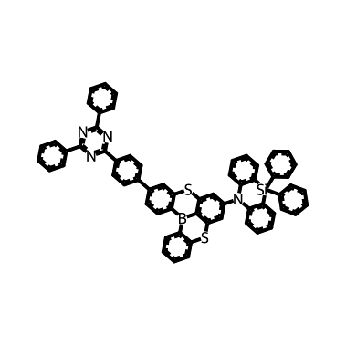 c1ccc(-c2nc(-c3ccccc3)nc(-c3ccc(-c4ccc5c(c4)Sc4cc(N6c7ccccc7[Si](c7ccccc7)(c7ccccc7)c7ccccc76)cc6c4B5c4ccccc4S6)cc3)n2)cc1